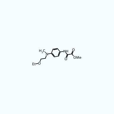 CCOCCN(C)c1ccc(NC(=O)C(=O)OC)cc1